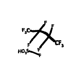 FC(F)(F)C(F)(F)C(F)(F)C(F)(F)F.O=S(=O)(O)F